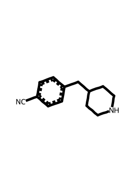 N#Cc1ccc(CC2CCNCC2)cc1